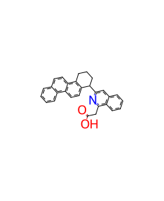 O=C(O)Cc1nc(C2CCCc3c2ccc2c3ccc3ccccc32)cc2ccccc12